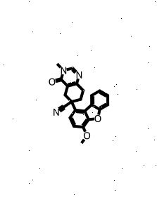 COc1ccc(C2(C#N)CCc3ncn(C)c(=O)c3C2)c2c1oc1ccccc12